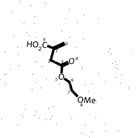 C=C(CC(=O)OCCOC)C(=O)O